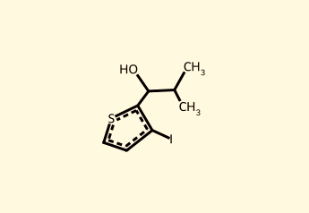 CC(C)C(O)c1sccc1I